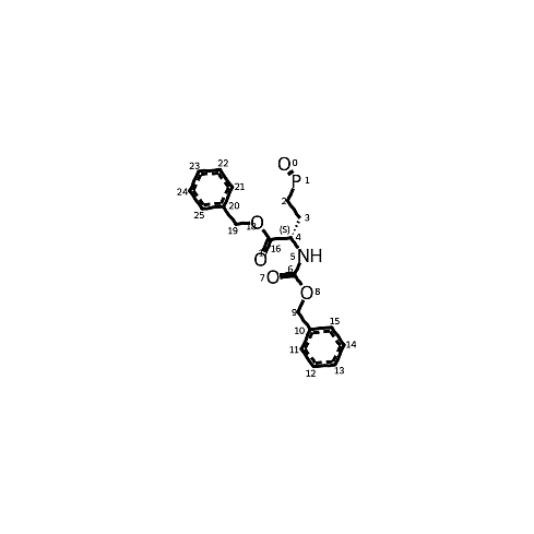 O=PCC[C@H](NC(=O)OCc1ccccc1)C(=O)OCc1ccccc1